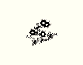 Cc1ccc2nc(C(=O)Nc3cccc4ccccc34)nc(NC3CCCCC3NC(=N)N)c2c1.O=C(O)C(F)(F)F.O=C(O)C(F)(F)F